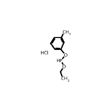 CCOPOc1cccc(C)c1.Cl